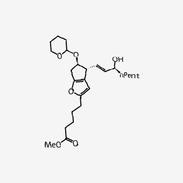 CCCCC[C@H](O)C=C[C@@H]1c2cc(CCCCC(=O)OC)oc2C[C@H]1OC1CCCCO1